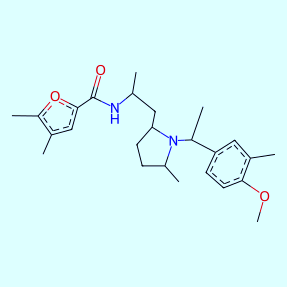 COc1ccc(C(C)N2C(C)CCC2CC(C)NC(=O)c2cc(C)c(C)o2)cc1C